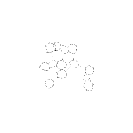 c1ccc(-c2ccc(-c3nc(-c4cccc5c4sc4ccccc45)nc(-c4cccc5c6ccccc6n(-c6cccc7c8ccccc8n(-c8ccccc8)c67)c45)n3)cc2)cc1